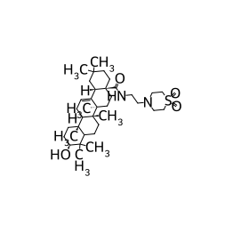 CC1(C)CC[C@]2(C(=O)NCCN3CCS(=O)(=O)CC3)CC[C@]3(C)C(=CC[C@@H]4[C@@]5(C)CC[C@H](O)C(C)(C)C5CC[C@]43C)[C@@H]2C1